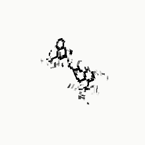 Cc1cc(C(C)(C)C)c2ccc(COc3cc(C(C)(C)C)c4ccccc4n3)c(F)c2n1